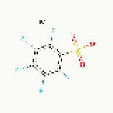 O=S(=O)([O-])c1c(F)c(F)c(F)c(F)c1F.[K+]